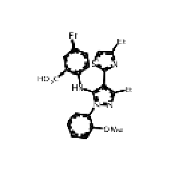 CCc1ccc(Nc2c(-c3nc(CC)cs3)c(CC)nn2-c2ccccc2OC)c(C(=O)O)c1